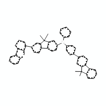 CC1(C)c2ccccc2-c2ccc(-c3ccc(N(c4ccccc4)c4ccc5c(c4)C(C)(C)c4cc(-c6cccc7c6sc6ccccc67)ccc4-5)cc3)cc21